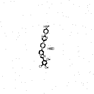 CNC1CCN(c2ncc(N3CCN(c4ccn5cc(-c6cc(Cl)c(OC)cc6OC)nc5c4)CC3)cn2)CC1.Cl.Cl